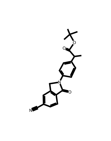 CC(C(=O)OC(C)(C)C)c1ccc(N2Cc3cc(C#N)ccc3C2=O)cc1